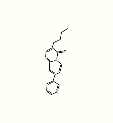 CCCCc1cnc2cc(-c3cccnc3)ccn2c1=O